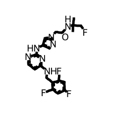 CC(C)(CF)NC(=O)Cn1cc(Nc2nccc(NCc3c(F)cc(F)cc3F)n2)cn1